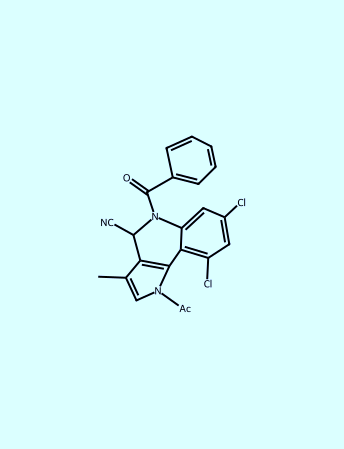 CC(=O)n1cc(C)c2c1-c1c(Cl)cc(Cl)cc1N(C(=O)c1ccccc1)C2C#N